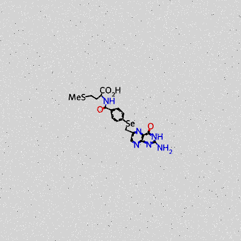 CSCCC(NC(=O)c1ccc([Se]Cc2cnc3nc(N)[nH]c(=O)c3n2)cc1)C(=O)O